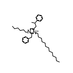 CCCCCCCCCCCCC[n+]1c(CC(C)c2ccccc2)cn(CCCCCC)c1Cc1ccccc1